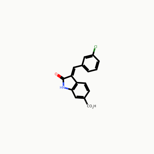 O=C1Nc2cc(C(=O)O)ccc2C1=Cc1cccc(Cl)c1